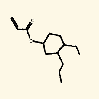 C=CC(=O)OC1CCC(CC)C(CCC)C1